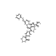 CC1C=C(OCc2ccccc2)C=CC1n1nc(C(N)=O)c2c1C(=O)N(c1ccc(N3CCCCC3=O)cc1)CC2